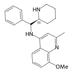 COc1cccc2c(NC(c3ccccc3)[C@@H]3CCCCN3)cc(C)nc12